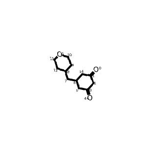 O=C1CC(=O)CC(CC2CCOCC2)C1